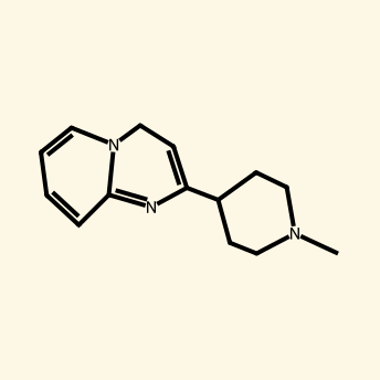 CN1CCC(C2=CCN3C=CC=CC3=N2)CC1